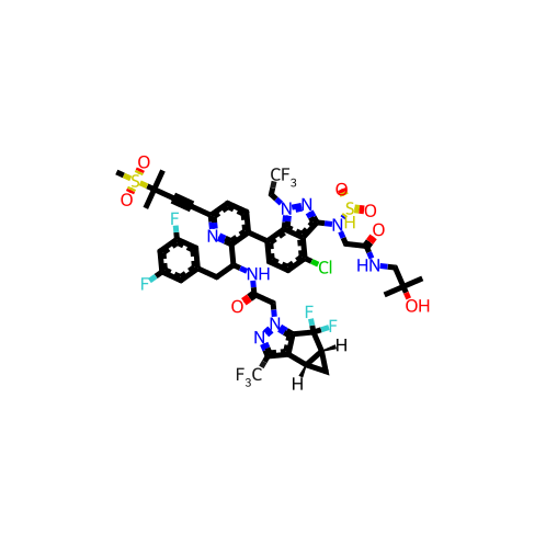 CC(C)(O)CNC(=O)CN(c1nn(CC(F)(F)F)c2c(-c3ccc(C#CC(C)(C)S(C)(=O)=O)nc3C(Cc3cc(F)cc(F)c3)NC(=O)Cn3nc(C(F)(F)F)c4c3C(F)(F)[C@@H]3C[C@H]43)ccc(Cl)c12)[SH](=O)=O